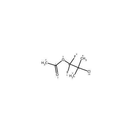 CC(=O)OC(F)(F)C(C)(C)Cl